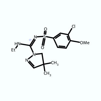 CCN/C(=N/S(=O)(=O)c1ccc(OC)c(Cl)c1)N1CC(C)(C)C=N1